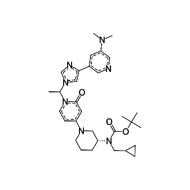 CC(n1cnc(-c2cncc(N(C)C)c2)c1)n1ccc(N2CCC[C@@H](N(CC3CC3)C(=O)OC(C)(C)C)C2)cc1=O